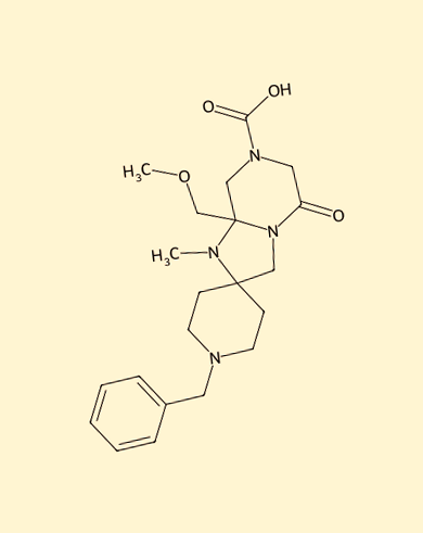 COCC12CN(C(=O)O)CC(=O)N1CC1(CCN(Cc3ccccc3)CC1)N2C